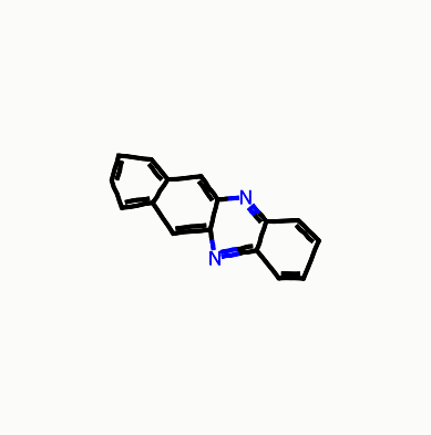 c1ccc2cc3nc4ccccc4nc3cc2c1